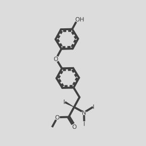 COC(=O)[C@](I)(Cc1ccc(Oc2ccc(O)cc2)cc1)N(I)I